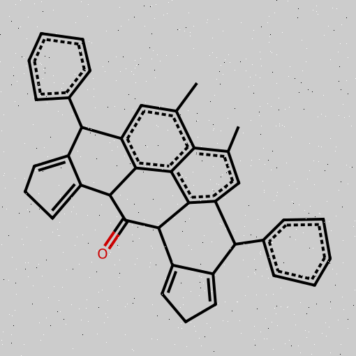 Cc1cc2c3c4c5c(cc(C)c14)C(c1ccccc1)C1=CCC=C1C5C(=O)C3C1=CCC=C1C2c1ccccc1